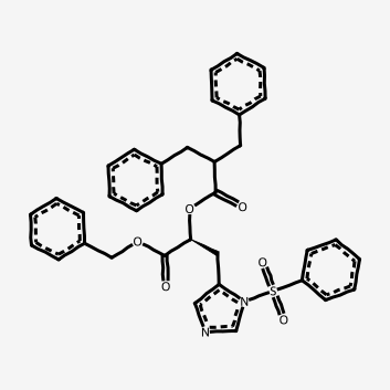 O=C(O[C@@H](Cc1cncn1S(=O)(=O)c1ccccc1)C(=O)OCc1ccccc1)C(Cc1ccccc1)Cc1ccccc1